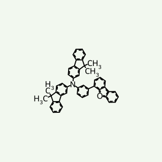 CC1(C)c2ccccc2-c2cc(N(c3cccc(-c4cccc5c4oc4ccccc45)c3)c3ccc4c(c3)C(C)(C)c3ccccc3-4)ccc21